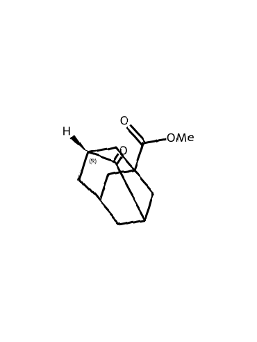 COC(=O)C12CC3CC(C1)C(=O)[C@H](C3)C2